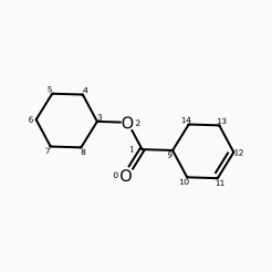 O=C(OC1CCCCC1)C1CC=CCC1